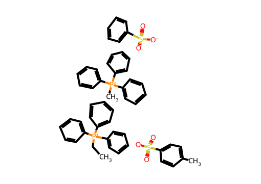 CC[P+](c1ccccc1)(c1ccccc1)c1ccccc1.C[P+](c1ccccc1)(c1ccccc1)c1ccccc1.Cc1ccc(S(=O)(=O)[O-])cc1.O=S(=O)([O-])c1ccccc1